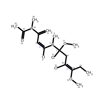 C=C(/C=C(/Cl)N(C)C(Cl)(C/C(Cl)=C(\CC)OC)OC)N(C)C(C)=O